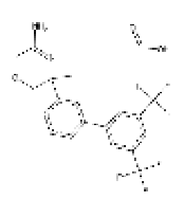 CC1(c2cccc(-c3cc(C(F)(F)F)cc(C(F)(F)F)c3)c2)COCC(N)=N1.O=CO